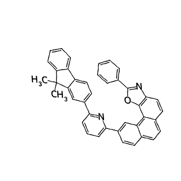 CC1(C)c2ccccc2-c2ccc(-c3cccc(-c4ccc5ccc6ccc7nc(-c8ccccc8)oc7c6c5c4)n3)cc21